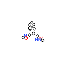 c1ccc(C2(c3ccccc3)c3cc(-c4cc(-c5ccc(-c6nc7ccccc7o6)cc5)cc(-c5ccc(C6Nc7ccccc7O6)cc5)c4)ccc3-c3ccc4ccccc4c32)cc1